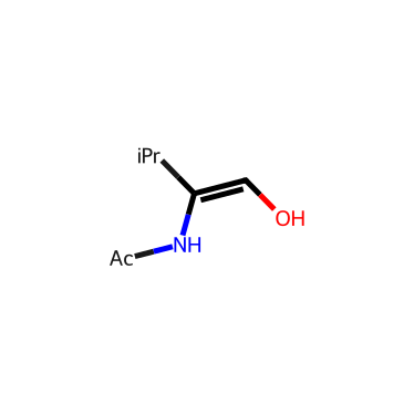 CC(=O)N/C(=C\O)C(C)C